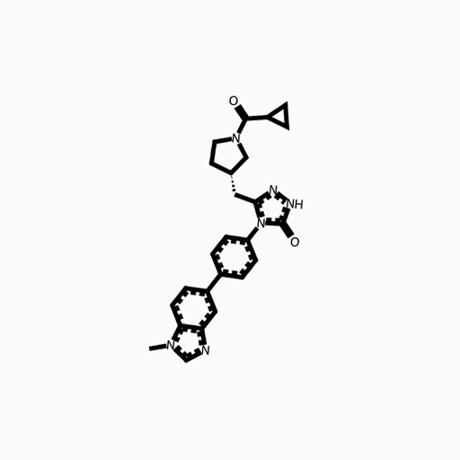 Cn1cnc2cc(-c3ccc(-n4c(C[C@@H]5CCN(C(=O)C6CC6)C5)n[nH]c4=O)cc3)ccc21